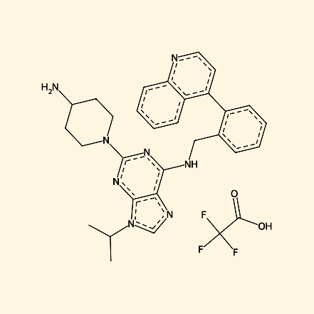 CC(C)n1cnc2c(NCc3ccccc3-c3ccnc4ccccc34)nc(N3CCC(N)CC3)nc21.O=C(O)C(F)(F)F